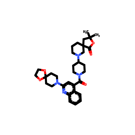 CC1(C)CC2(CCCN(C3CCN(C(=O)c4cc(N5CCC6(CC5)OCCO6)nc5ccccc45)CC3)C2)C(=O)O1